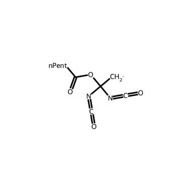 [CH2]C(N=C=O)(N=C=O)OC(=O)CCCCC